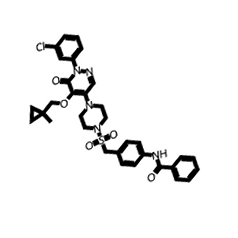 CC1(COc2c(N3CCN(S(=O)(=O)Cc4ccc(NC(=O)c5ccccc5)cc4)CC3)cnn(-c3cccc(Cl)c3)c2=O)CC1